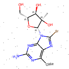 COc1nc(N)nc2c1nc(Br)n2[C@@H]1O[C@H](CO)[C@@H](O)[C@@]1(C)O